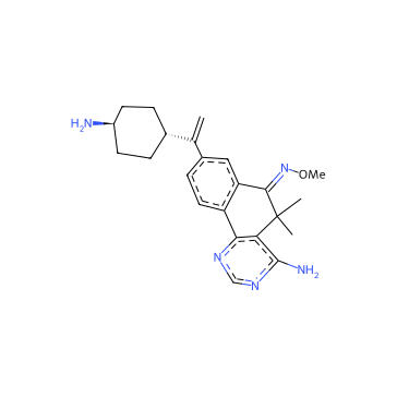 C=C(c1ccc2c(c1)/C(=N/OC)C(C)(C)c1c(N)ncnc1-2)[C@H]1CC[C@H](N)CC1